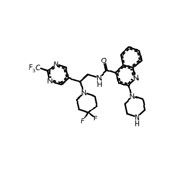 O=C(NCC(c1cnc(C(F)(F)F)nc1)N1CCC(F)(F)CC1)c1cc(N2CCNCC2)nc2ccccc12